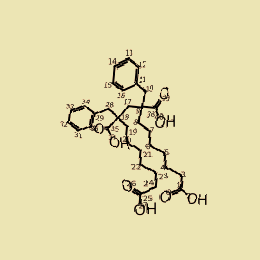 O=C(O)CCCCCCC(Cc1ccccc1)(CC(CCCCCCC(=O)O)(Cc1ccccc1)C(=O)O)C(=O)O